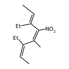 C\C=C(CC)/C(C)=C(\C(=C\C)CC)[N+](=O)[O-]